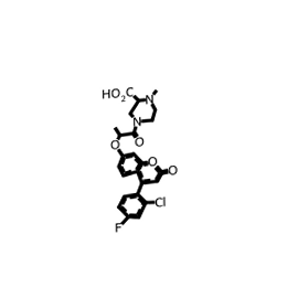 CC(Oc1ccc2c(-c3ccc(F)cc3Cl)cc(=O)oc2c1)C(=O)N1CCN(C)C(C(=O)O)C1